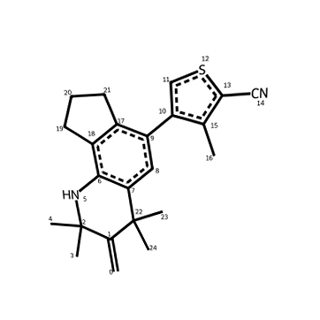 C=C1C(C)(C)Nc2c(cc(-c3csc(C#N)c3C)c3c2CCC3)C1(C)C